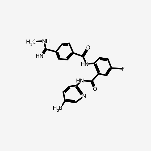 Bc1ccc(NC(=O)c2cc(F)ccc2NC(=O)c2ccc(C(=N)NC)cc2)nc1